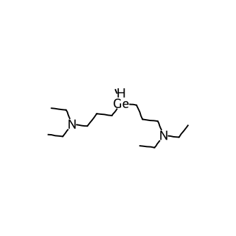 CCN(CC)CC[CH2][GeH]([CH3])[CH2]CCN(CC)CC